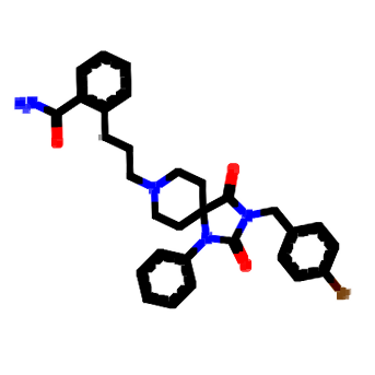 NC(=O)c1ccccc1[CH]CCN1CCC2(CC1)C(=O)N(Cc1ccc(Br)cc1)C(=O)N2c1ccccc1